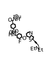 CCN(CC)CC#Cc1cc2nccc(Oc3ccc(NS(=O)(=O)c4ccc(C(=O)NC(C)(C)C)cc4)cc3F)c2s1